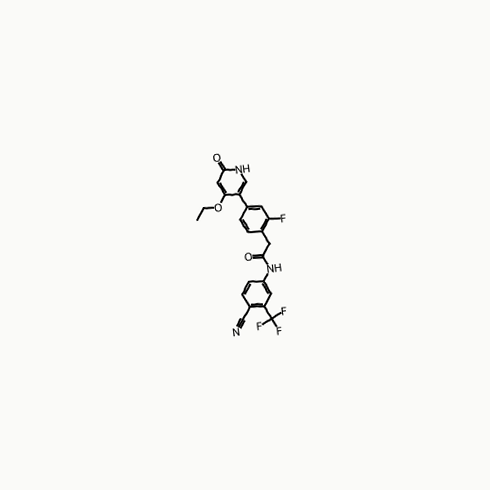 CCOc1cc(=O)[nH]cc1-c1ccc(CC(=O)Nc2ccc(C#N)c(C(F)(F)F)c2)c(F)c1